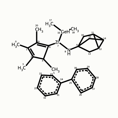 CC1=C(C)C(C)[C]([Zr]([NH]C23CC4C(C2)C4C3)[GeH]([CH3])[CH3])=C1C.c1ccc(-c2ccccc2)cc1